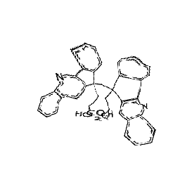 O=C(O)CCC1(CC2(CCC(=O)O)c3ccccc3-c3nc4ccccc4cc32)c2ccccc2-c2nc3ccccc3cc21